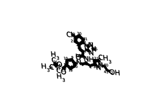 Cc1cc(CC(CNc2ccc(C(=O)OC(C)(C)C)cc2)NC(=O)C=Cc2cc(Cl)ccc2-n2cnnn2)nn1CCO